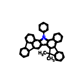 CC1(C)c2ccccc2-c2c1c1c3cc4c5c(cccc5c3n(-c3ccccc3)c1c1ccccc21)-c1ccccc1-4